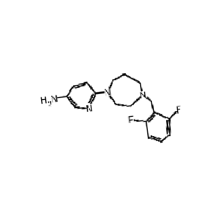 Nc1ccc(N2CCCN(Cc3c(F)cccc3F)CC2)nc1